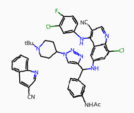 CC(=O)Nc1cccc(C(Nc2cc(Cl)c3ncc(C#N)c(Nc4ccc(F)c(Cl)c4)c3c2)c2cn(C3CCN(C(C)(C)C)CC3)nn2)c1.N#Cc1cnc2ccccc2c1